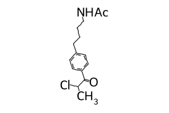 CC(=O)NCCCCc1ccc(C(=O)C(C)Cl)cc1